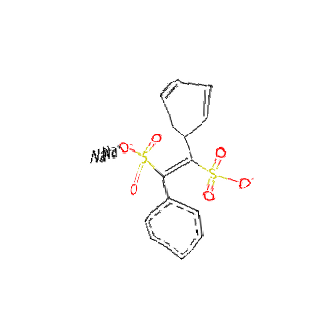 O=S(=O)([O-])C(=C(C1C=CC=CC1)S(=O)(=O)[O-])c1ccccc1.[Na+].[Na+]